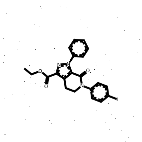 CCOC(=O)c1nn(-c2ccccc2)c2c1CCN(c1ccc(I)cc1)C2=O